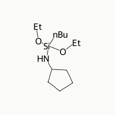 CCCC[Si](NC1CCCC1)(OCC)OCC